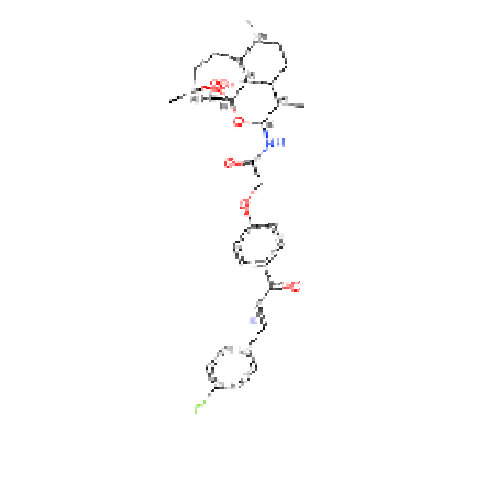 C[C@@H]1CCC2[C@@H](C)[C@@H](NC(=O)COc3ccc(C(=O)/C=C/c4ccc(F)cc4)cc3)O[C@@H]3O[C@@]4(C)CCC1[C@@]23OO4